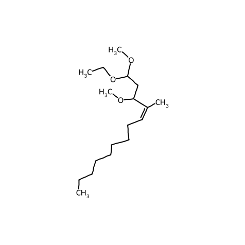 CCCCCCCCC=C(C)C(CC(OC)OCC)OC